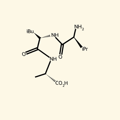 CC[C@H](C)[C@H](NC(=O)[C@@H](N)C(C)C)C(=O)N[C@@H](C)C(=O)O